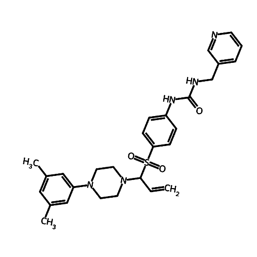 C=CC(N1CCN(c2cc(C)cc(C)c2)CC1)S(=O)(=O)c1ccc(NC(=O)NCc2cccnc2)cc1